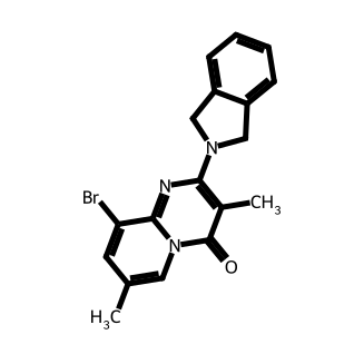 Cc1cc(Br)c2nc(N3Cc4ccccc4C3)c(C)c(=O)n2c1